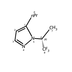 CCCc1ccnn1[C@H](C)C(F)(F)F